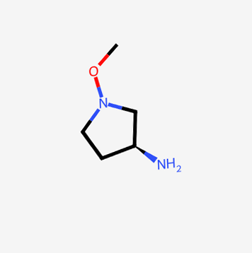 CON1CC[C@H](N)C1